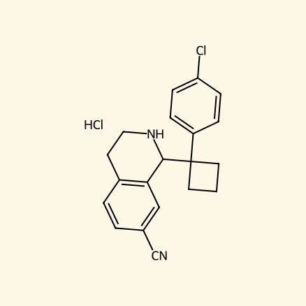 Cl.N#Cc1ccc2c(c1)C(C1(c3ccc(Cl)cc3)CCC1)NCC2